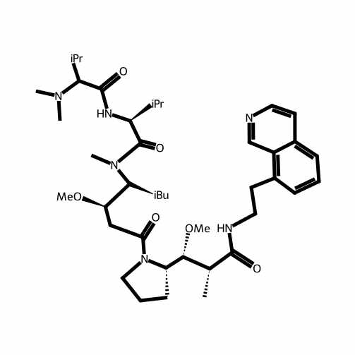 CC[C@H](C)C([C@@H](CC(=O)N1CCC[C@H]1[C@H](OC)[C@@H](C)C(=O)NCCc1cccc2ccncc12)OC)N(C)C(=O)[C@@H](NC(=O)C(C(C)C)N(C)C)C(C)C